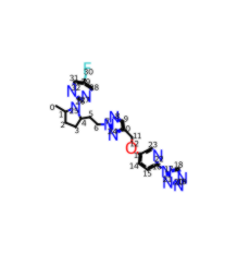 CC1CCC(CCn2ncc(COc3ccc(-n4cnnn4)nc3)n2)N1c1ncc(F)cn1